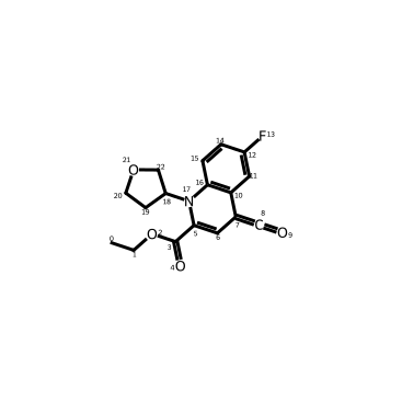 CCOC(=O)C1=CC(=C=O)c2cc(F)ccc2N1C1CCOC1